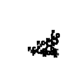 O=C([O-])[O-].O=c1ccn2c(=O)c(-c3cnn(CC(F)(F)C(F)(F)F)c3)c(C(F)(F)F)nc2n1CF.[K+].[K+]